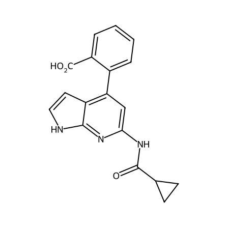 O=C(O)c1ccccc1-c1cc(NC(=O)C2CC2)nc2[nH]ccc12